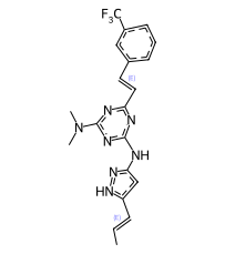 C/C=C/c1cc(Nc2nc(/C=C/c3cccc(C(F)(F)F)c3)nc(N(C)C)n2)n[nH]1